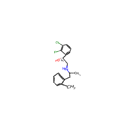 Cc1ccccc1CC(C)NC[C@H](O)c1cccc(Cl)c1F